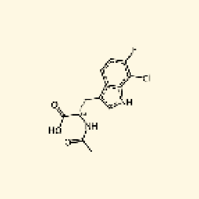 CC(=O)N[C@@H](Cc1c[nH]c2c(Cl)c(F)ccc12)C(=O)O